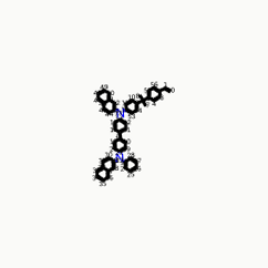 C=Cc1ccc(C(C)(C)c2ccc(N(c3ccc(-c4ccc(N(c5ccccc5)c5ccc6ccccc6c5)cc4)cc3)c3ccc4ccccc4c3)cc2)cc1